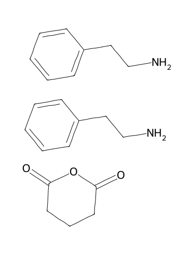 NCCc1ccccc1.NCCc1ccccc1.O=C1CCCC(=O)O1